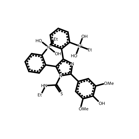 CCNC(=S)n1c(-c2cc(OC)c(O)c(OC)c2)nc(-c2ccccc2[N+](O)(O)CC)c1-c1ccccc1[N+](O)(O)CC